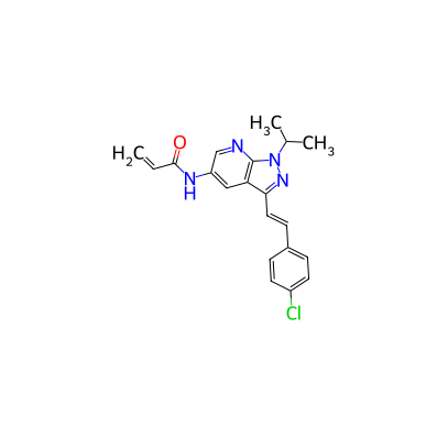 C=CC(=O)Nc1cnc2c(c1)c(/C=C/c1ccc(Cl)cc1)nn2C(C)C